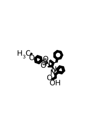 CCOc1ccc(S(=O)(=O)N2C[C@@H](CC3CCCCCC3)[C@@H](n3nc(CC(=O)O)c4ccccc43)C2)cc1